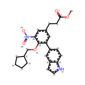 COC(=O)CCc1cc(-c2ccc3[nH]ccc3c2)c(OCC2CCCC2)c([N+](=O)[O-])c1